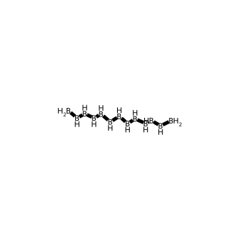 BBBBBBBBBBBBB